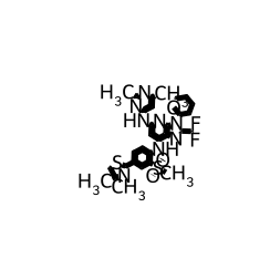 Cc1cc(Nc2cc(Nc3ccc(C4=NC(C)(C)CS4)cc3S(C)(=O)=O)c3nc(C(F)F)n(C4CCCCO4)c3n2)nc(C)n1